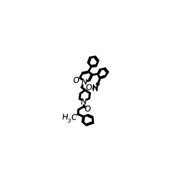 C[C@H](CC(=O)N1CCC(O)(Cn2cc(-c3ccccc3C#N)c(-c3ccccc3)cc2=O)CC1)c1ccccc1